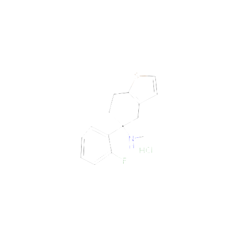 CNC1(c2ccccc2F)CCc2sccc2C1.Cl